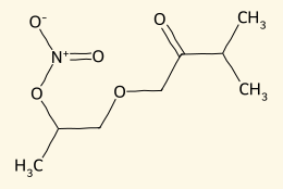 CC(COCC(=O)C(C)C)O[N+](=O)[O-]